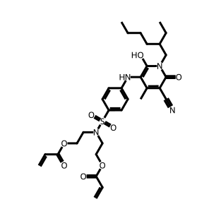 C=CC(=O)OCCN(CCOC(=O)C=C)S(=O)(=O)c1ccc(Nc2c(C)c(C#N)c(=O)n(CC(CC)CCCC)c2O)cc1